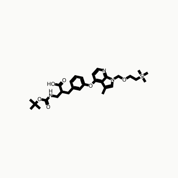 Cc1cn(COCC[Si](C)(C)C)c2nccc(Oc3cccc(CC(CNC(=O)OC(C)(C)C)C(=O)O)c3)c12